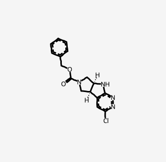 O=C(OCc1ccccc1)N1C[C@@H]2c3cc(Cl)nnc3N[C@@H]2C1